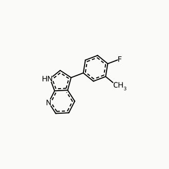 Cc1cc(-c2c[nH]c3ncccc23)ccc1F